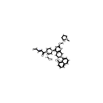 CN1CCC[C@H]1COc1nc2c(c(N3CCN(C(=O)/C=C/CF)[C@@H](CC#N)C3)n1)CCN(c1cccc3cccc(Cl)c13)C2